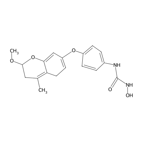 COC1CC(C)=C2CC=C(Oc3ccc(NC(=O)NO)cc3)C=C2O1